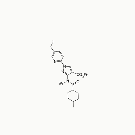 CCOC(=O)c1cn(-c2ccc(CI)cn2)nc1N(C(=O)C1CCC(C)CC1)C(C)C